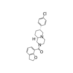 O=C(c1cccc2c1OCC2)N1CCN2C[C@@H](c3ccc(Cl)cc3)CC[C@@H]2C1